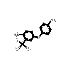 Nc1ccc(Sc2ccc(N)c(C(O)(C(F)(F)F)C(F)(F)F)c2)cc1